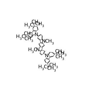 Cn1c2ccc(-n3c4ccc(C(C)(C)C)cc4c4cc(C(C)(C)C)ccc43)cc2c2cc3c(cc21)c1cc(-n2c4ccc(C(C)(C)C)cc4c4cc(C(C)(C)C)ccc42)ccc1n3C